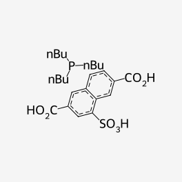 CCCCP(CCCC)CCCC.O=C(O)c1cc(S(=O)(=O)O)c2cc(C(=O)O)ccc2c1